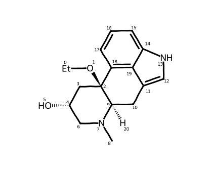 CCO[C@]12C[C@@H](O)CN(C)[C@@H]1Cc1c[nH]c3cccc2c13